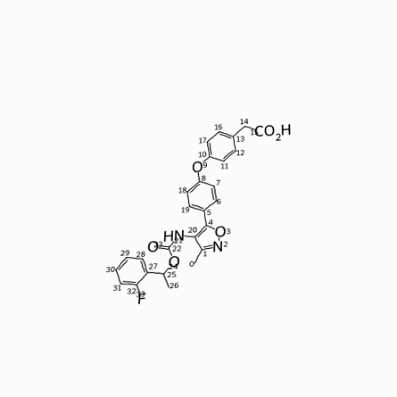 Cc1noc(-c2ccc(Oc3ccc(CC(=O)O)cc3)cc2)c1NC(=O)OC(C)c1ccccc1F